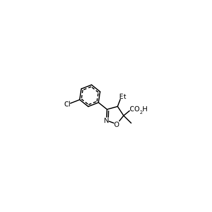 CCC1C(c2cccc(Cl)c2)=NOC1(C)C(=O)O